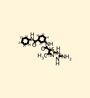 Cc1nc(NC(=N)N)sc1C(=O)Nc1cccc(C(=O)Nc2ccccc2)c1